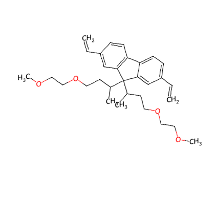 C=Cc1ccc2c(c1)C(C(C)CCOCCOC)(C(C)CCOCCOC)c1cc(C=C)ccc1-2